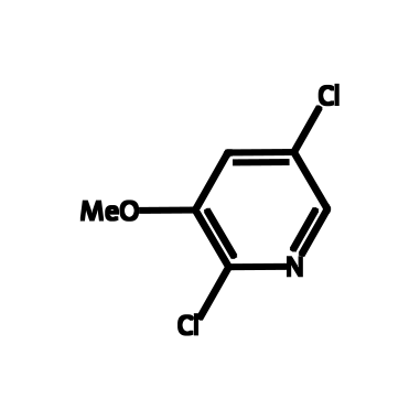 COc1cc(Cl)cnc1Cl